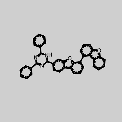 c1ccc(C2=NC(c3ccc4c(c3)oc3c(-c5cccc6oc7ccccc7c56)cccc34)NC(c3ccccc3)=N2)cc1